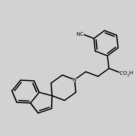 N#Cc1cccc(C(CCN2CCC3(C=Cc4ccccc43)CC2)C(=O)O)c1